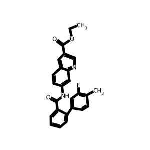 CCOC(=O)c1cnc2cc(NC(=O)c3ccccc3-c3ccc(C)c(F)c3)ccc2c1